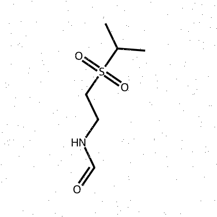 CC(C)S(=O)(=O)CCNC=O